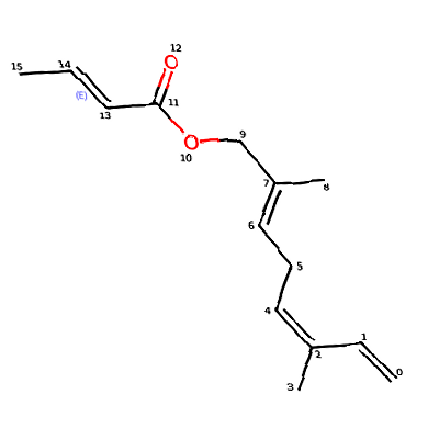 C=CC(C)=CCC=C(C)COC(=O)/C=C/C